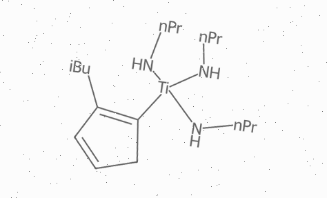 CCC[NH][Ti]([NH]CCC)([NH]CCC)[C]1=C(C(C)CC)C=CC1